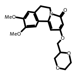 COc1cc2c(cc1OC)-c1cc(OCC3COCCO3)cc(=O)n1CC2